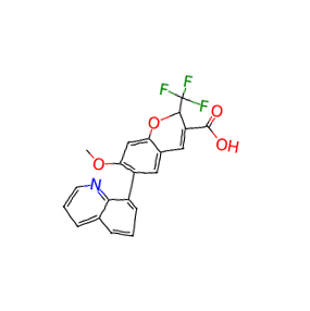 COc1cc2c(cc1-c1cccc3cccnc13)C=C(C(=O)O)C(C(F)(F)F)O2